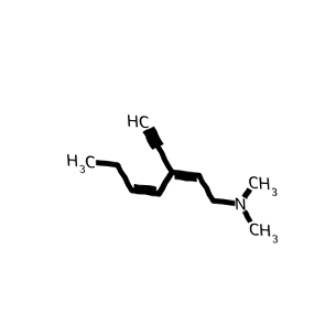 C#CC(/C=C\CC)=C/CN(C)C